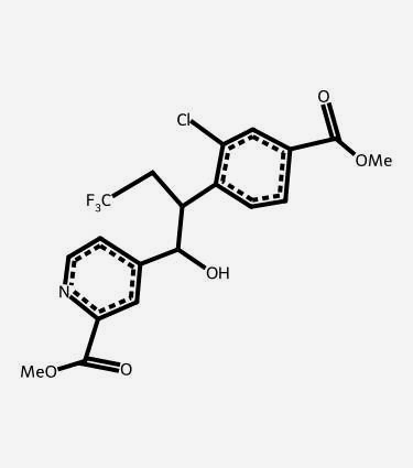 COC(=O)c1ccc(C(CC(F)(F)F)C(O)c2ccnc(C(=O)OC)c2)c(Cl)c1